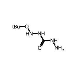 CC(C)(C)ONNC(=O)NN